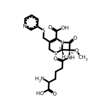 CO[C@@]1(NC(=O)CCCC(N)C(=O)O)C(=O)N2C(C(=O)O)=C(CSc3cccnc3)CS[C@H]21